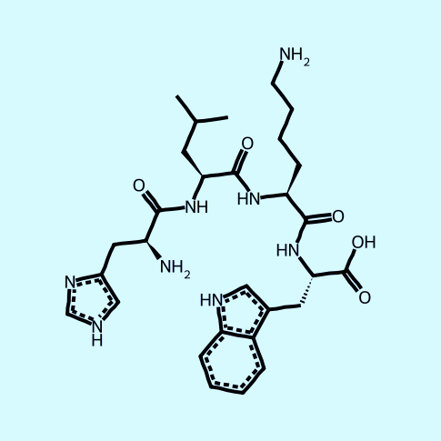 CC(C)C[C@H](NC(=O)[C@@H](N)Cc1c[nH]cn1)C(=O)N[C@@H](CCCCN)C(=O)N[C@@H](Cc1c[nH]c2ccccc12)C(=O)O